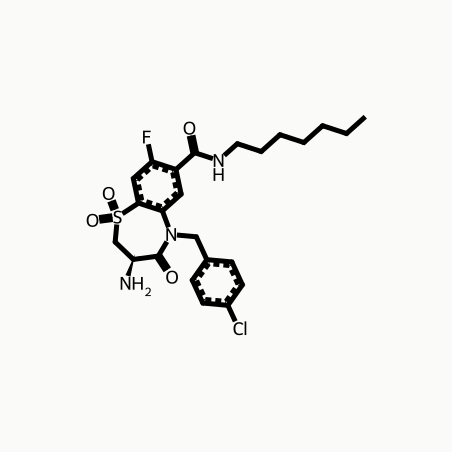 CCCCCCCNC(=O)c1cc2c(cc1F)S(=O)(=O)C[C@H](N)C(=O)N2Cc1ccc(Cl)cc1